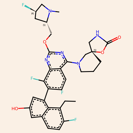 CCc1c(F)ccc2cc(O)cc(-c3c(F)cc4c(N5CCC[C@]6(CNC(=O)O6)C5)nc(OC[C@@H]5C[C@@H](F)CN5C)nc4c3F)c12